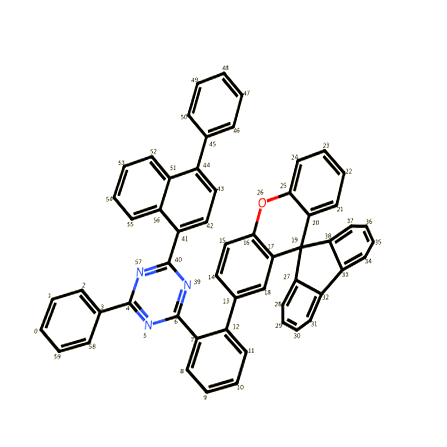 c1ccc(-c2nc(-c3ccccc3-c3ccc4c(c3)C3(c5ccccc5O4)c4ccccc4-c4ccccc43)nc(-c3ccc(-c4ccccc4)c4ccccc34)n2)cc1